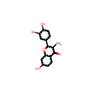 Cc1c(-c2ccc(O)c(Br)c2)oc2cc(O)ccc2c1=O